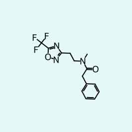 CN(CCc1noc(C(F)(F)F)n1)C(=O)Cc1ccccc1